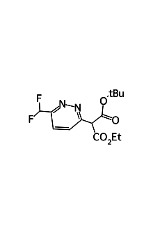 CCOC(=O)C(C(=O)OC(C)(C)C)c1ccc(C(F)F)nn1